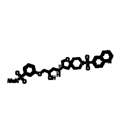 CNS(=O)(=O)c1cccc(OCC(O)CN[C@H]2COC3(CCN(S(=O)(=O)c4ccc5ncccc5c4)CC3)C2)c1